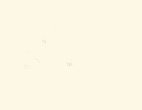 CON(C(=O)C(C)(C)N1CCOCC1)c1ccc(NC(=O)c2ccc(-c3ccccc3)cc2)cc1